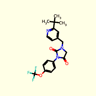 CC(C)(C)c1cc(CN2CC(=O)N(c3ccc(OC(F)(F)F)cc3)C2=O)ccn1